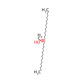 CC(=O)O.CCCCCCCCCCCCCCCCOCCCCCCCCCCCCCCCC